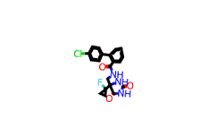 O=C1NC(=O)C(CNC(=O)c2ccccc2-c2ccc(Cl)cc2)(C2(F)CC2)N1